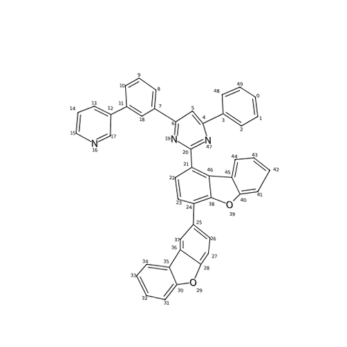 c1ccc(-c2cc(-c3cccc(-c4cccnc4)c3)nc(-c3ccc(-c4ccc5oc6ccccc6c5c4)c4oc5ccccc5c34)n2)cc1